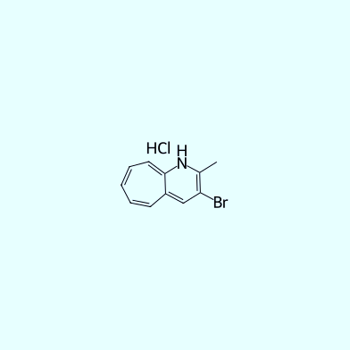 CC1=C(Br)C=C2C=CC=CC=C2N1.Cl